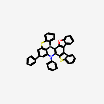 c1ccc(-c2cc3c4c(c2)N(c2ccccc2)c2c(c5oc6ccccc6c5c5c2sc2ccccc25)B4c2ccccc2S3)cc1